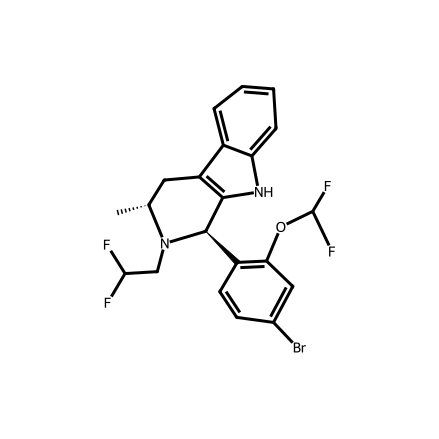 C[C@@H]1Cc2c([nH]c3ccccc23)[C@@H](c2ccc(Br)cc2OC(F)F)N1CC(F)F